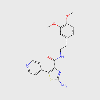 COc1ccc(CCNC(=O)c2nc(N)sc2-c2ccncc2)cc1OC